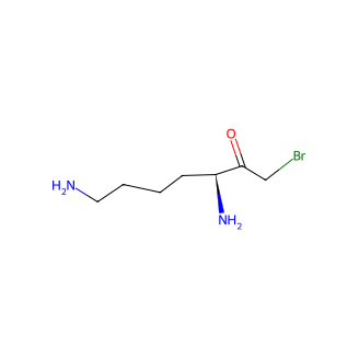 NCCCC[C@H](N)C(=O)CBr